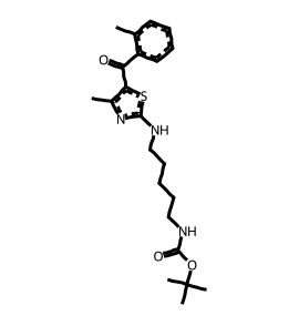 Cc1ccccc1C(=O)c1sc(NCCCCCNC(=O)OC(C)(C)C)nc1C